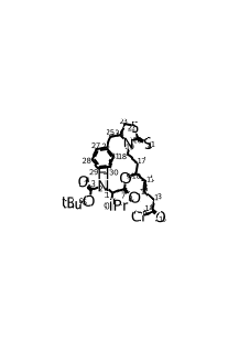 CC(C)C(NC(=O)OC(C)(C)C)C(=O)OC(C=CCC(=O)Cl)CCN1C(=S)SCC1Cc1ccccc1